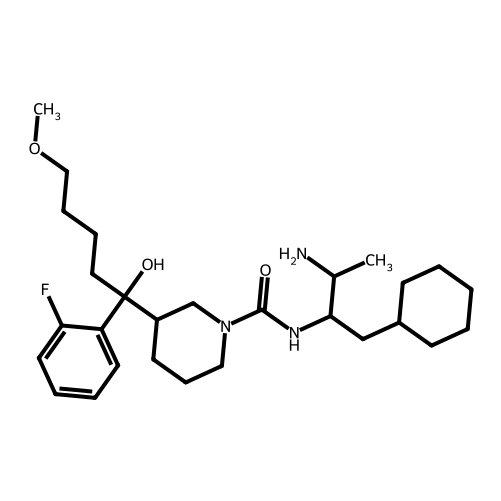 COCCCCC(O)(c1ccccc1F)C1CCCN(C(=O)NC(CC2CCCCC2)C(C)N)C1